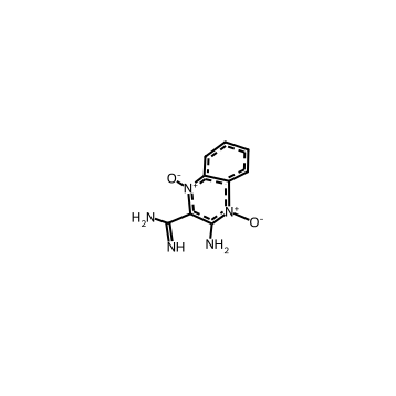 N=C(N)c1c(N)[n+]([O-])c2ccccc2[n+]1[O-]